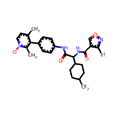 CCc1nocc1C(=O)NC(C(=O)Nc1ccc(-c2c(C)cc[n+]([O-])c2C)cc1)C1CCC(C(F)(F)F)CC1